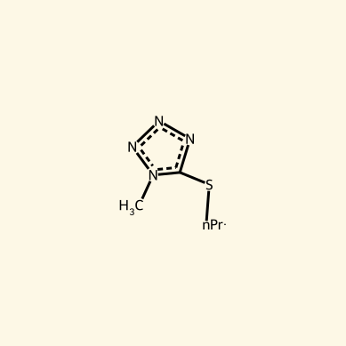 CC[CH]Sc1nnnn1C